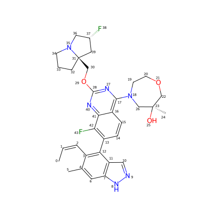 C/C=C\c1c(C)cc2[nH]ncc2c1-c1ccc2c(N3CCOC[C@@](C)(O)C3)nc(OC[C@@]34CCCN3C[C@H](F)C4)nc2c1F